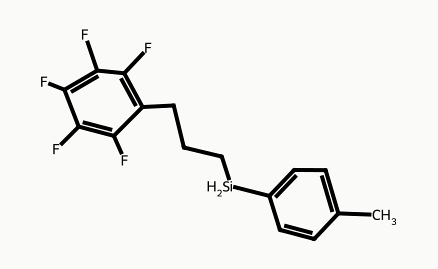 Cc1ccc([SiH2]CCCc2c(F)c(F)c(F)c(F)c2F)cc1